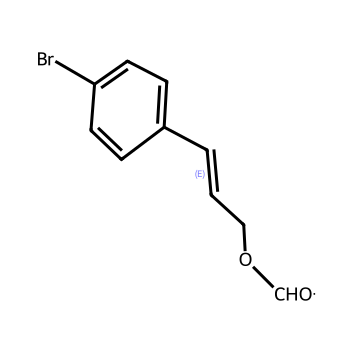 O=[C]OC/C=C/c1ccc(Br)cc1